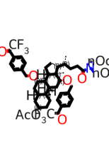 CCCCCCCCN(CCCCCCCC)C(=O)CC[C@@H](C)[C@H]1CC[C@H]2[C@@H]3[C@H](OCc4ccc(C(=O)C(F)(F)F)cc4)C[C@@H]4C[C@H](OC(C)=O)CC[C@]4(C)[C@H]3C[C@@H](OCc3ccc(C(=O)C(F)(F)F)cc3)[C@]12C